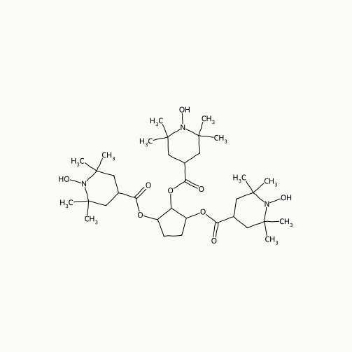 CC1(C)CC(C(=O)OC2CCC(OC(=O)C3CC(C)(C)N(O)C(C)(C)C3)C2OC(=O)C2CC(C)(C)N(O)C(C)(C)C2)CC(C)(C)N1O